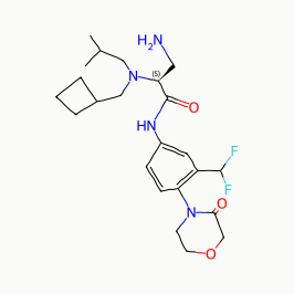 CC(C)CN(CC1CCC1)[C@@H](CN)C(=O)Nc1ccc(N2CCOCC2=O)c(C(F)F)c1